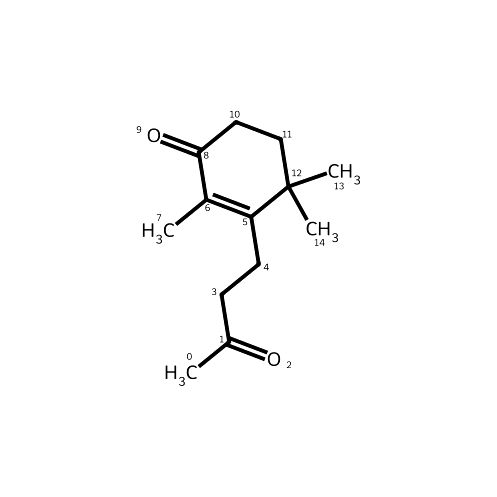 CC(=O)CCC1=C(C)C(=O)CCC1(C)C